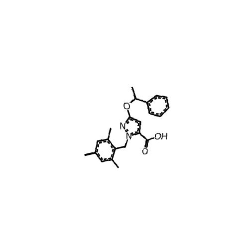 Cc1cc(C)c(Cn2nc(OC(C)c3ccccc3)cc2C(=O)O)c(C)c1